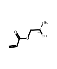 C=CC(=O)OC[C@@H](O)CCCC